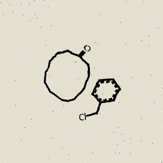 ClCc1ccccc1.O=C1CCCCCCCCCCC1